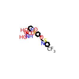 O=C(NO)O[C@@H]1[C@@H](O)CCCN1S(=O)(=O)c1ccc(OCc2nc3cc(C(F)(F)F)ccc3s2)cc1